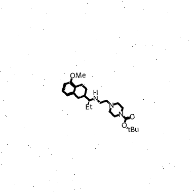 CC[C@H](NCCN1CCN(C(=O)OC(C)(C)C)CC1)C1CCc2c(cccc2OC)C1